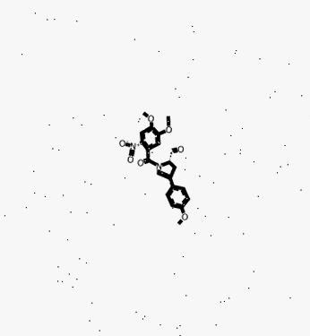 COc1ccc(C2=CN(C(=O)c3cc(OC)c(OC)cc3[N+](=O)[O-])[C@H](C=O)C2)cc1